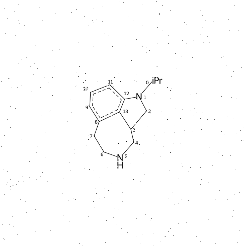 CC(C)N1CC2CNCCc3cccc1c32